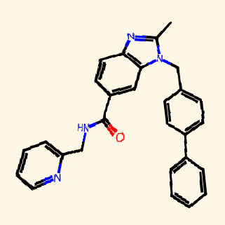 Cc1nc2ccc(C(=O)NCc3ccccn3)cc2n1Cc1ccc(-c2ccccc2)cc1